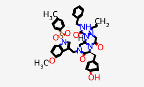 C=CCN1CC(=O)N2[C@@H](Cc3ccc(O)cc3)C(=O)N(Cc3cn(S(=O)(=O)c4ccc(C)cc4)c4ccc(OC)cc34)C[C@@H]2N1C(=O)NCc1ccccc1